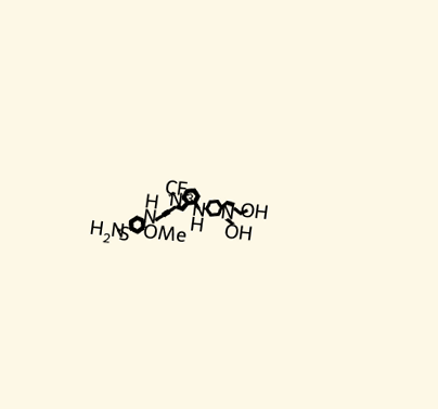 C=C[C@]1(N(CCO)CCO)CC[C@@H](Nc2cccc3c2cc(C#CCNc2ccc(SN)cc2OC)n3CC(F)(F)F)CC1